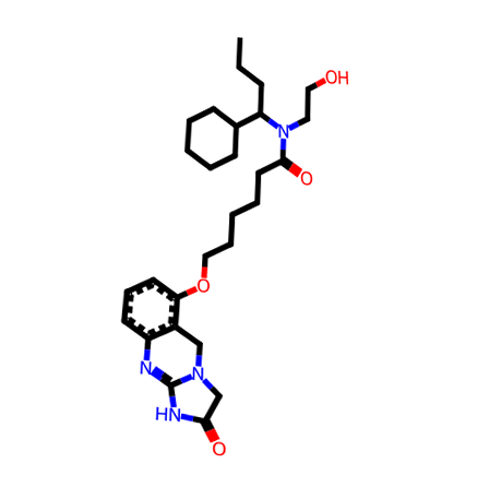 CCCC(C1CCCCC1)N(CCO)C(=O)CCCCCOc1cccc2c1CN1CC(=O)NC1=N2